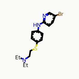 CCN(CC)CCSc1ccc(Nc2ccc(Br)cn2)cc1